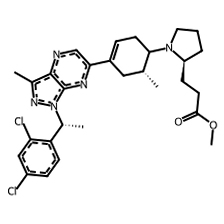 COC(=O)CC[C@@H]1CCCN1C1CC=C(c2cnc3c(C)nn([C@H](C)c4ccc(Cl)cc4Cl)c3n2)C[C@H]1C